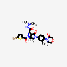 Cc1cc(N2CC(C)(NC(=O)c3ccc(Br)s3)C(CC(=O)NN(C)C)C2=O)ccc1N1CCOCC1=O